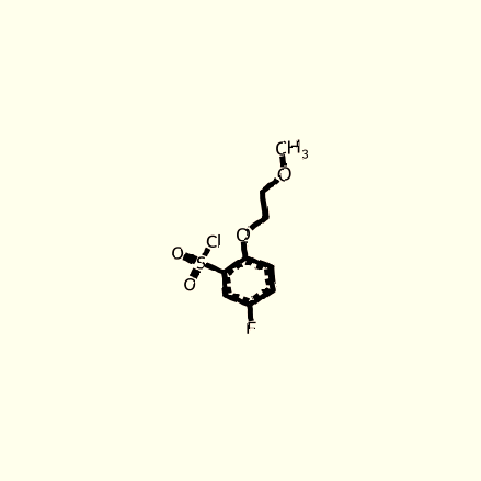 COCCOc1ccc(F)cc1S(=O)(=O)Cl